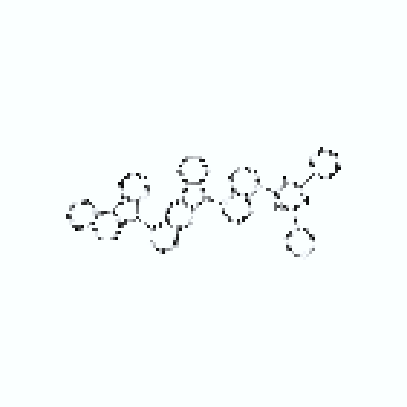 c1ccc(-c2nc(-c3ccccc3)nc(-c3cccc4c(-n5c6ccccc6c6cc7c(-n8c9ccccc9c9c%10ccccc%10ccc98)cccc7cc65)cccc34)n2)cc1